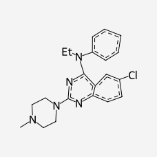 CCN(c1ccccc1)c1nc(N2CCN(C)CC2)nc2ccc(Cl)cc12